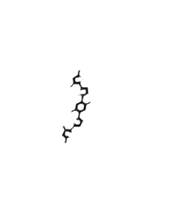 Cc1cc(C)c(-c2ccc(-c3cc(C)c(-c4ccc(-c5sc(C)cc5C)s4)cc3C)s2)s1